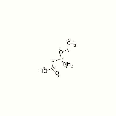 CCOC(N)CC(=O)O